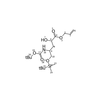 C=CCOC(=O)C(O)CC(CO[Si](C)(C)C(C)(C)C)NC(=O)OC(C)(C)C